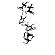 C[C@@H](OP(=O)(OCCSC(=O)C(C)(C)C)OCCSC(=O)C(C)(C)C)[C@H]1O[C@@H](n2cnc3c(N)ncnc32)[C@H](O)[C@@H]1O